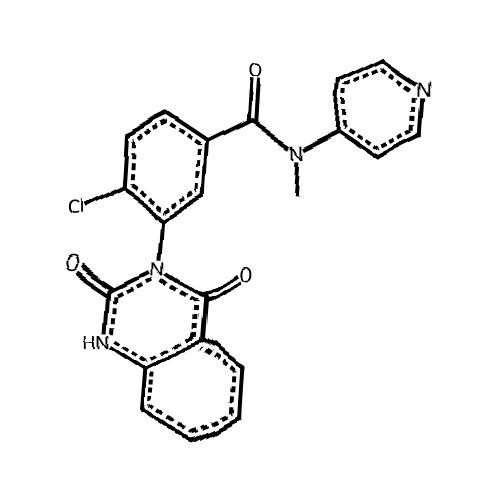 CN(C(=O)c1ccc(Cl)c(-n2c(=O)[nH]c3ccccc3c2=O)c1)c1ccncc1